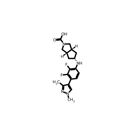 Cc1nn(C)cc1-c1ccc(N[C@@H]2C[C@@H]3CN(C(=O)O)C[C@@H]3C2)c(F)c1F